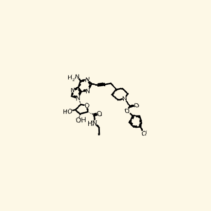 CCNC(=O)[C@H]1O[C@@H](n2cnc3c(N)nc(C#CCC4CCN(C(=O)Oc5ccc(Cl)cc5)CC4)nc32)C(O)[C@H]1O